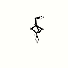 O=[C]C12CP(=O)(C1)C2